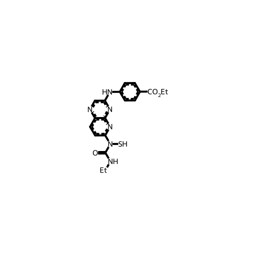 CCNC(=O)N(S)c1ccc2ncc(Nc3ccc(C(=O)OCC)cc3)nc2n1